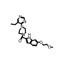 CCc1cncnc1N1CCN(C(=O)c2cc3ccc(OCCOC)cc3[nH]2)CC1